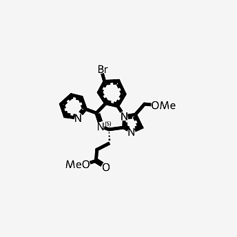 COCc1cnc2n1-c1ccc(Br)cc1C(c1ccccn1)=N[C@H]2CCC(=O)OC